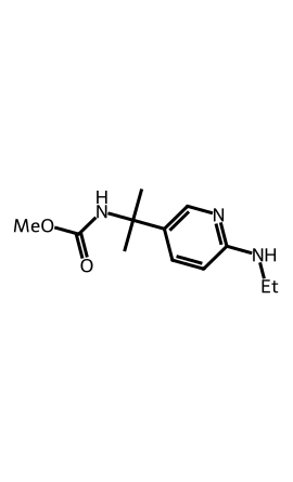 CCNc1ccc(C(C)(C)NC(=O)OC)cn1